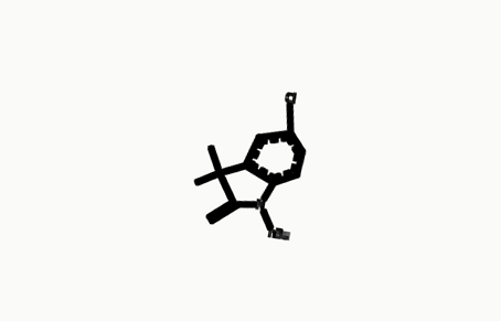 C=C1N(CCCC)c2ccc(Cl)cc2C1(C)C